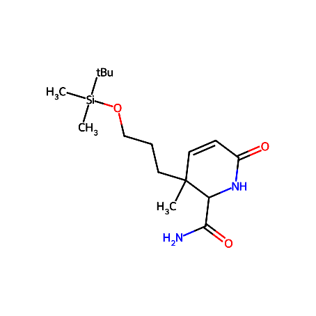 CC1(CCCO[Si](C)(C)C(C)(C)C)C=CC(=O)NC1C(N)=O